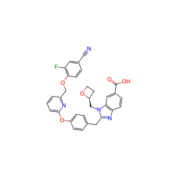 N#Cc1ccc(OCc2cccc(Oc3ccc(Cc4nc5ccc(C(=O)O)cc5n4C[C@@H]4CCO4)cc3)n2)c(F)c1